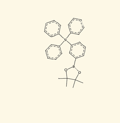 CC1(C)OB(c2cccc([Si](c3ccccc3)(c3ccccc3)c3ccccc3)c2)OC1(C)C